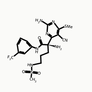 CSc1nc(N)nc([C@](N)(CCCNS(C)(=O)=O)C(=O)Nc2cccc(C(F)(F)F)c2)c1C#N